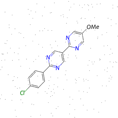 COc1cnc(-c2cnc(-c3ccc(Cl)cc3)nc2)nc1